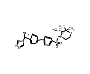 CC1(C)OCCN(SS(=O)(=O)c2ccc(-c3ccc(C(N)n4cnnc4)cc3)cc2)[C@@H]1C(=O)O